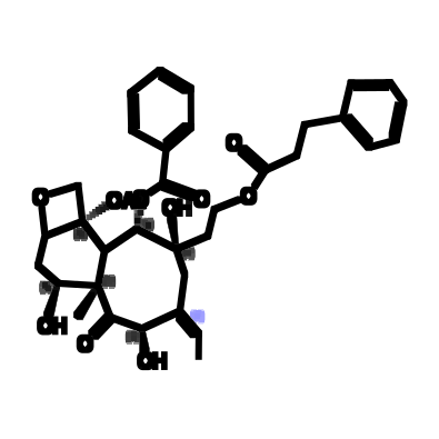 C/C=C1/C[C@@](O)(CCOC(=O)CCc2ccccc2)[C@@H](OC(=O)c2ccccc2)C2[C@]3(OC(C)=O)COC3C[C@H](O)[C@@]2(C)C(=O)[C@@H]1O